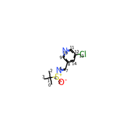 CC(C)(C)[S+]([O-])/N=C/c1cncc(Cl)c1